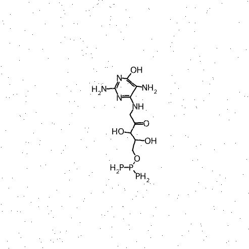 Nc1nc(O)c(N)c(NCC(=O)C(O)C(O)COP(P)P)n1